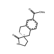 COC(=O)c1ccc2c(c1)CC[C@@]1(CCNC1=O)C2